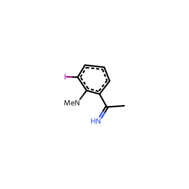 CNc1c(I)cccc1C(C)=N